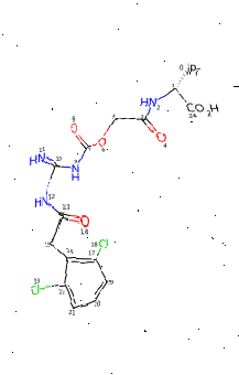 CC(C)[C@@H](NC(=O)COC(=O)NC(=N)NC(=O)Cc1c(Cl)cccc1Cl)C(=O)O